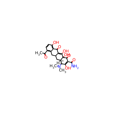 CC(=O)c1ccc(O)c2c1CC1C[C@H]3[C@H](N(C)C)C(O)=C(C(N)=O)C(=O)[C@@]3(O)C(O)=C1C2=O